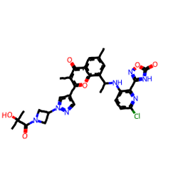 Cc1cc(C(C)Nc2ccc(Cl)nc2-c2noc(=O)[nH]2)c2oc(-c3cnn(C4CN(C(=O)C(C)(C)O)C4)c3)c(C)c(=O)c2c1